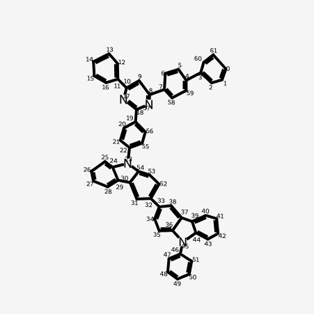 c1ccc(-c2ccc(-c3cc(-c4ccccc4)nc(-c4ccc(-n5c6ccccc6c6cc(-c7ccc8c(c7)c7ccccc7n8-c7ccccc7)ccc65)cc4)n3)cc2)cc1